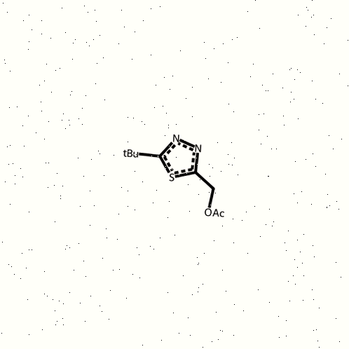 CC(=O)OCc1nnc(C(C)(C)C)s1